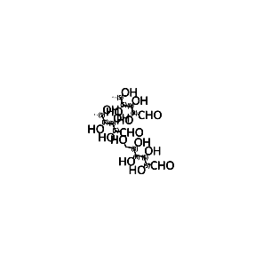 C[C@H](O)[C@@H](O)[C@@H](O)[C@H](O)C=O.C[C@H](O)[C@H](O)[C@@H](O)[C@@H](O)C=O.O=C[C@@H](O)[C@@H](O)[C@H](O)[C@H](O)CO